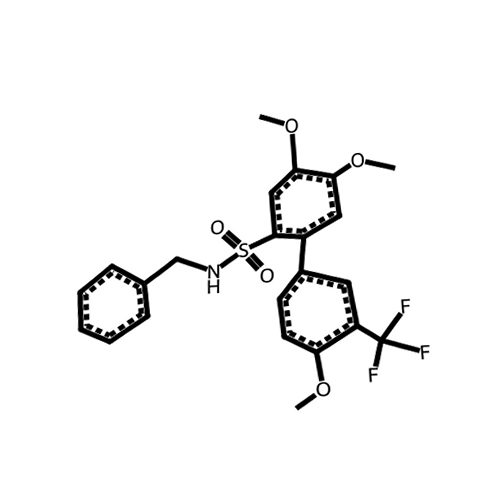 COc1cc(-c2ccc(OC)c(C(F)(F)F)c2)c(S(=O)(=O)NCc2ccccc2)cc1OC